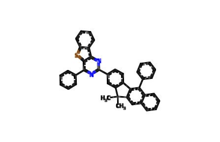 CC1(C)c2cc(-c3nc(-c4ccccc4)c4sc5ccccc5c4n3)ccc2-c2c1cc1ccccc1c2-c1ccccc1